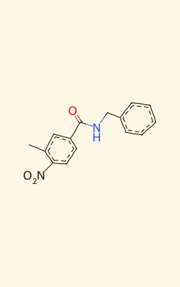 Cc1cc(C(=O)NCc2ccccc2)ccc1[N+](=O)[O-]